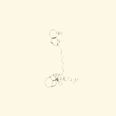 CC(=O)N1CC2CCCC(C1)C2C(=O)N[C@@H](CCCCCCCc1ccc2c(n1)NCCC2)C(=O)O